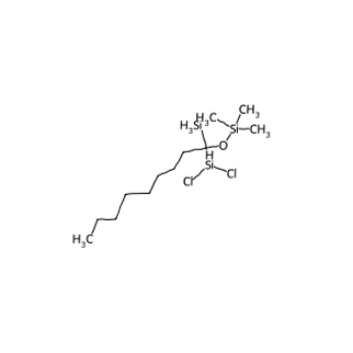 CCCCCCCCC([SiH3])(O[Si](C)(C)C)[SiH](Cl)Cl